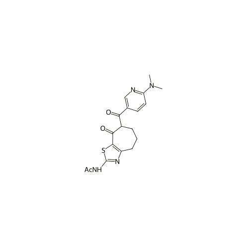 CC(=O)Nc1nc2c(s1)C(=O)C(C(=O)c1ccc(N(C)C)nc1)CCC2